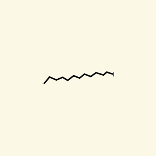 [CH2]CCCCCCCCCC[CH]I